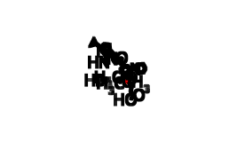 Br.CC(C)(C)c1cc(C(=O)CN2Cc3ccc(C4CC4)nc3C2=N)cc(N2CCCCC2)c1OCCCC(=O)O